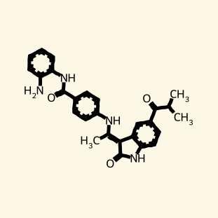 CC(Nc1ccc(C(=O)Nc2ccccc2N)cc1)=C1C(=O)Nc2ccc(C(=O)C(C)C)cc21